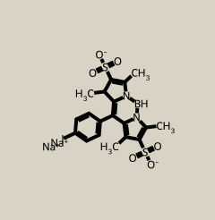 CC1=C(S(=O)(=O)[O-])C(C)C2=C(c3ccc(I)cc3)c3c(C)c(S(=O)(=O)[O-])c(C)n3BN12.[Na+].[Na+]